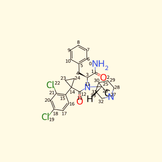 NC(=O)[C@H](Cc1ccccc1)N(C(=O)C1(c2ccc(Cl)cc2Cl)CC1)[C@H]1CN2CCC1CC2